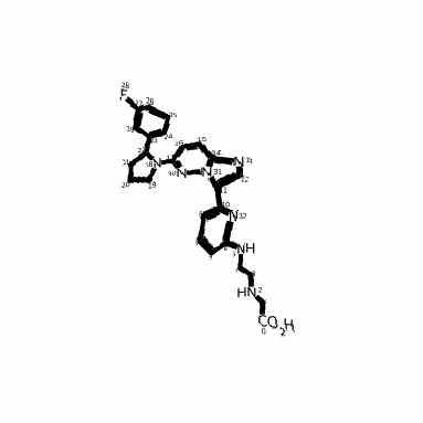 O=C(O)CNCCNc1cccc(-c2cnc3ccc(N4CCCC4c4cccc(F)c4)nn23)n1